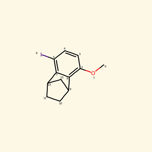 COc1ccc(I)c2c1C1CCC2C1